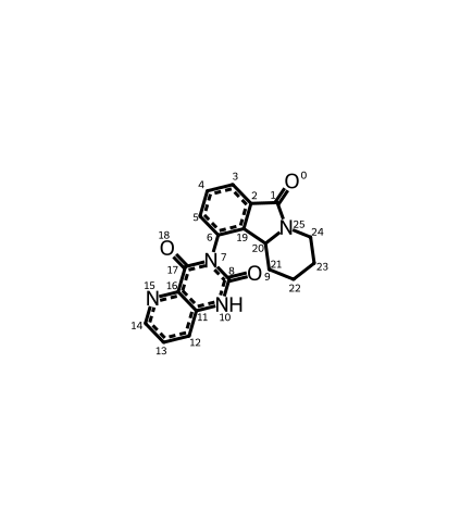 O=C1c2cccc(-n3c(=O)[nH]c4cccnc4c3=O)c2C2CCCCN12